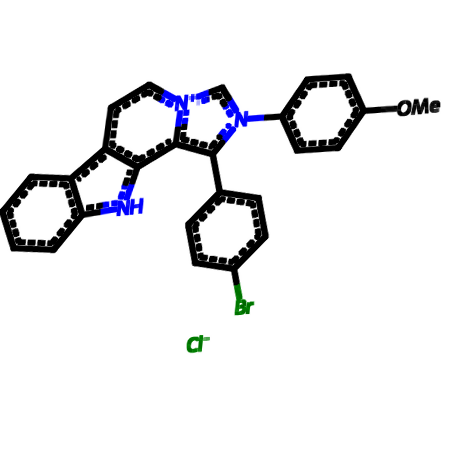 COc1ccc(-n2c[n+]3ccc4c5ccccc5[nH]c4c3c2-c2ccc(Br)cc2)cc1.[Cl-]